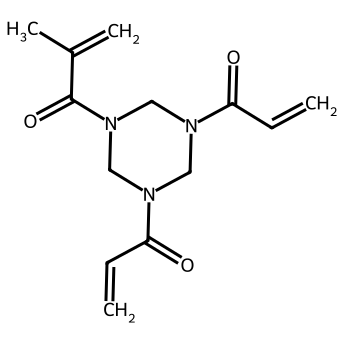 C=CC(=O)N1CN(C(=O)C=C)CN(C(=O)C(=C)C)C1